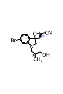 C[C@H](CO)CN1CC(C)(/C=C/C#N)c2ccc(Br)cc21